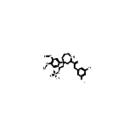 CCOc1ccc(C2(CCOS(C)(=O)=O)CCCNC(C(=O)Cc3cc(C(F)(F)F)cc(C(F)(F)F)c3)C2)cc1OCC